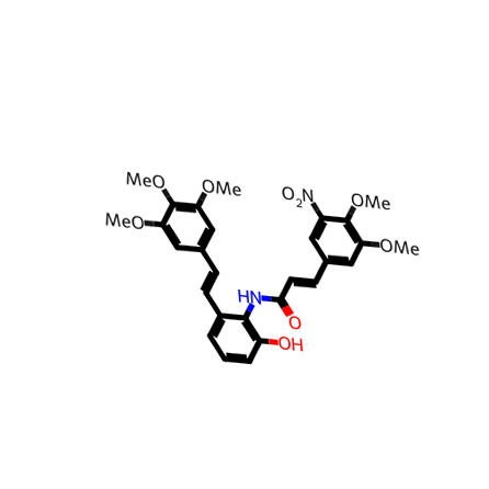 COc1cc(C=Cc2cccc(O)c2NC(=O)/C=C/c2cc(OC)c(OC)c([N+](=O)[O-])c2)cc(OC)c1OC